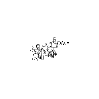 COc1ccc(-c2ccc(NC(=O)C3(c4cccc(Cl)c4)CC3)cc2-c2nnn[nH]2)cc1F